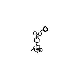 C=CC[C@@H](OS(C)(=O)=O)C1CCN(C(=O)OCc2ccccc2)CC1